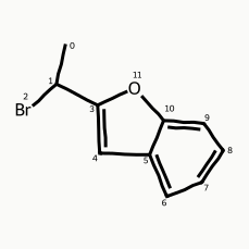 CC(Br)c1cc2ccccc2o1